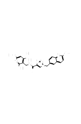 Cc1ccc2cc(Cn3cc(C(=O)NCc4c(C)cc(O)nc4C)nn3)ccc2n1